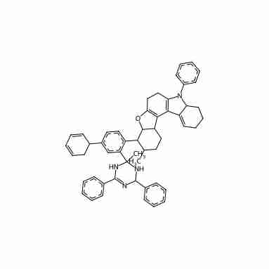 CC1CCC2C3=C(CCC4=C3C3=CCCCC3N4c3ccccc3)OC2C1c1ccc(C2C=CC=CC2)cc1C1(C)NC(c2ccccc2)=NC(c2ccccc2)N1